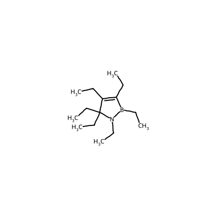 CCB1C(CC)=C(CC)C(CC)(CC)N1CC